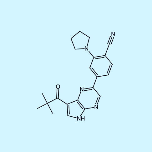 CC(C)(C)C(=O)c1c[nH]c2ncc(-c3ccc(C#N)c(N4CCCC4)c3)nc12